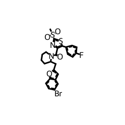 CS(=O)(=O)c1nc(C(=O)N2CCCCC2Cc2cc3cc(Br)ccc3o2)c(-c2ccc(F)cc2)s1